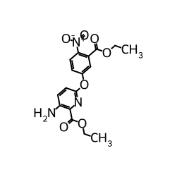 CCOC(=O)c1cc(Oc2ccc(N)c(C(=O)OCC)n2)ccc1[N+](=O)[O-]